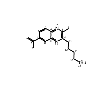 C=C(C)c1ccc2nc(C)c(CCCCC(C)(C)C)nc2c1